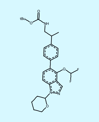 CC(CNC(=O)OC(C)(C)C)c1ccc(-c2ccc3c(cnn3C3CCCCO3)c2OC(F)F)cc1